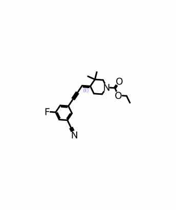 CCOC(=O)N1CC/C(=C\C#Cc2cc(F)cc(C#N)c2)C(C)(C)C1